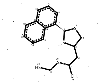 CC(CC1CS[C@@H](c2cccc3ccccc23)S1)SCS